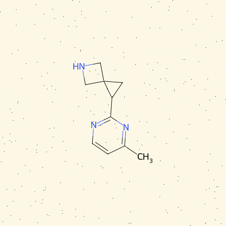 Cc1ccnc(C2CC23CNC3)n1